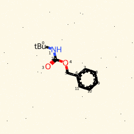 CC(C)(C)NC(=O)OCc1ccccc1